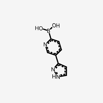 OB(O)c1ccc(-c2cc[nH]n2)cn1